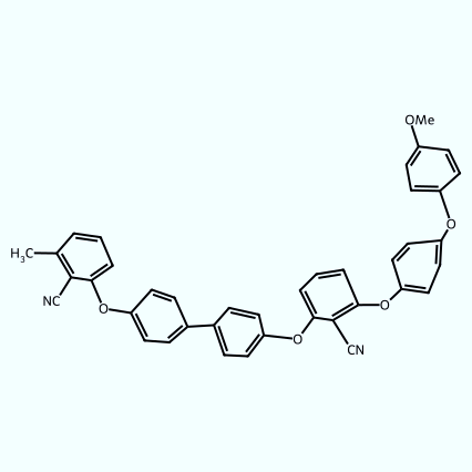 COc1ccc(Oc2ccc(Oc3cccc(Oc4ccc(-c5ccc(Oc6cccc(C)c6C#N)cc5)cc4)c3C#N)cc2)cc1